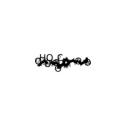 O=C(O)c1cc(CCOCC2CO2)ccc1C(=O)OCCOCC1CO1